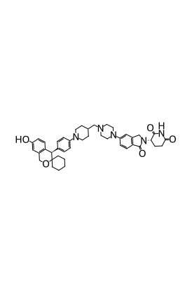 O=C1CC[C@H](N2Cc3cc(N4CCN(CC5CCN(c6ccc([C@@H]7c8ccc(O)cc8COC78CCCCC8)cc6)CC5)CC4)ccc3C2=O)C(=O)N1